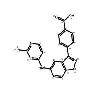 Nc1nccc(Nc2ccc3[nH]nc(-c4ccc(C(=O)O)cc4)c3c2)n1